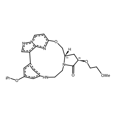 COCCO[C@@H]1C[C@H]2COc3ccn4ncc(c4n3)-c3cc(cc(OC(C)C)c3)NCCN2C1=O